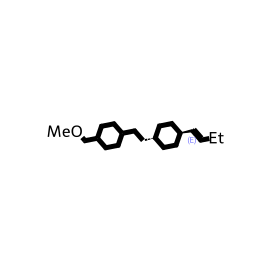 CC/C=C/[C@H]1CC[C@H](CCC2CCC(COC)CC2)CC1